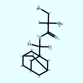 CCC(CC)(OC(=O)C(C)(CC(C)C)C(C)(C)C)C12CC3CC(CC(C3)C1)C2